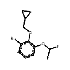 FC(F)Oc1cc[c]c(Br)c1OCC1CC1